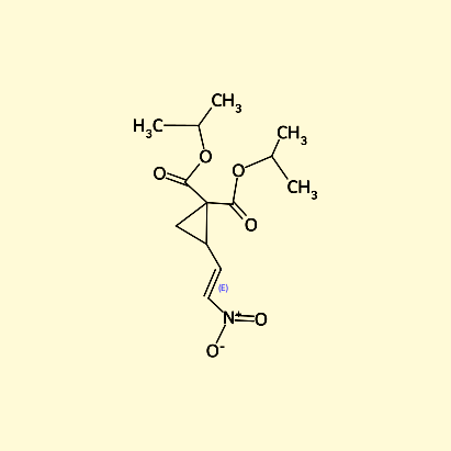 CC(C)OC(=O)C1(C(=O)OC(C)C)CC1/C=C/[N+](=O)[O-]